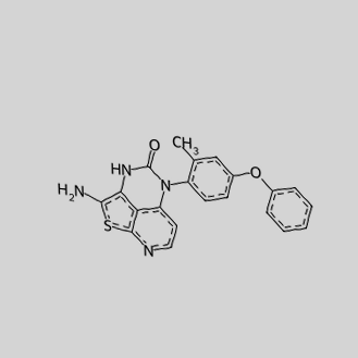 Cc1cc(Oc2ccccc2)ccc1N1C(=O)Nc2c(N)sc3nccc1c23